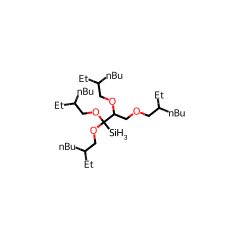 CCCCC(CC)COCC(OCC(CC)CCCC)C([SiH3])(OCC(CC)CCCC)OCC(CC)CCCC